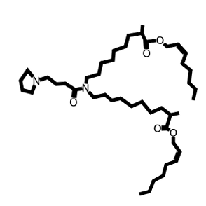 CCCCC/C=C\COC(=O)C(C)CCCCCCCCN(CCCCCCCC(C)C(=O)OC/C=C\CCCCC)C(=O)CCCN1CCCC1